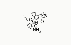 CCCCCc1ccnc(C(N)=O)c1NC(=O)c1ccc(Cn2nncc2COC)c2ccccc12